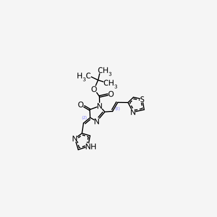 CC(C)(C)OC(=O)N1C(=O)/C(=C/c2c[nH]cn2)N=C1/C=C/c1cscn1